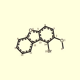 COc1ccc2oc3ccccc3c2c1Br